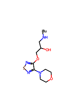 CCC(C)NCC(O)COc1nsnc1N1CCOCC1